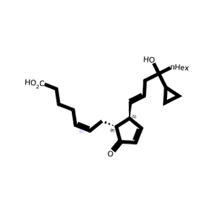 CCCCCCC(O)(CC=C[C@H]1C=CC(=O)[C@@H]1C/C=C\CCCC(=O)O)C1CC1